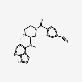 C[C@@H]1CCN(C(=O)c2ccc(C#N)cc2)CC1N(C)c1ccnc2[nH]ccc12